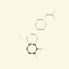 Cc1ccc2c(c1O)C[C@@H](C1CCN(CC(C)C)CC1)O[C@H]2CN